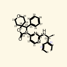 C/C=C\C(=C/C)[C@H](C)Nc1nccc(N2C(=O)OC3(CCOCC3)C2c2ccccc2)n1